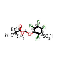 CCC(C)(C)C(=O)OCOc1c(F)c(F)c(F)c(S(=O)(=O)O)c1F